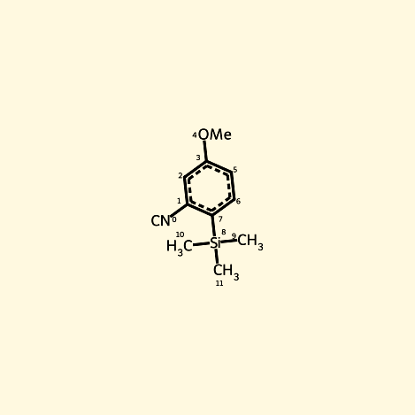 [C-]#[N+]c1cc(OC)ccc1[Si](C)(C)C